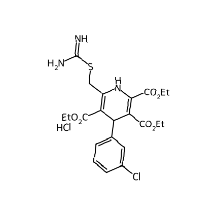 CCOC(=O)C1=C(C(=O)OCC)C(c2cccc(Cl)c2)C(C(=O)OCC)=C(CSC(=N)N)N1.Cl